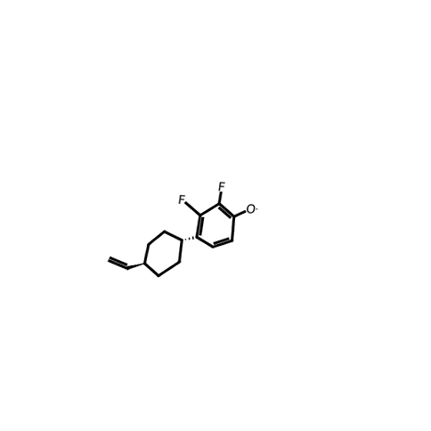 C=C[C@H]1CC[C@H](c2ccc([O])c(F)c2F)CC1